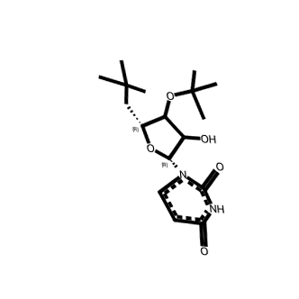 CC(C)(C)C[C@H]1O[C@@H](n2ccc(=O)[nH]c2=O)C(O)C1OC(C)(C)C